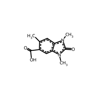 Cc1cc2c(cc1C(=O)O)n(C)c(=O)n2C